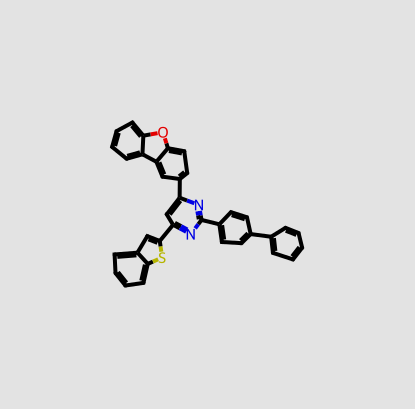 c1ccc(-c2ccc(-c3nc(-c4ccc5oc6ccccc6c5c4)cc(-c4cc5ccccc5s4)n3)cc2)cc1